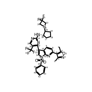 Cc1noc(C)c1-c1ccc2c(-c3nc(N[C@H]4CCCC4N4CC(F)(F)C4)ncc3C(F)(F)F)cn(S(=O)(=O)c3ccccc3)c2n1